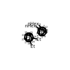 CCCCCC[C]12[CH]3[CH]4[CH]5[CH]1[Fe]45321678[CH]2[CH]1[CH]6[C]7(CCCCCC)[CH]28.CC[C]12[CH]3[CH]4[CH]5[C]1(CC)[Fe]43521678[CH]2[CH]1[CH]6[CH]7[CH]28